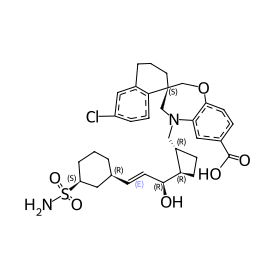 NS(=O)(=O)[C@H]1CCC[C@@H](/C=C/[C@H](O)[C@@H]2CC[C@H]2CN2C[C@@]3(CCCc4cc(Cl)ccc43)COc3ccc(C(=O)O)cc32)C1